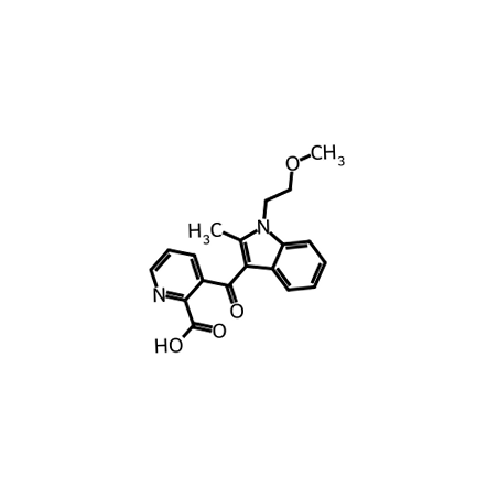 COCCn1c(C)c(C(=O)c2cccnc2C(=O)O)c2ccccc21